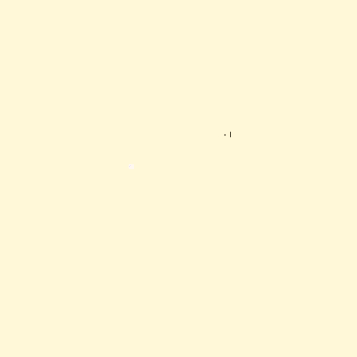 C/C=C/CCC.CC(C)O.CCO.OCCO